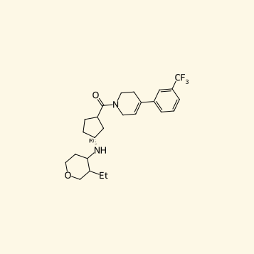 CCC1COCCC1N[C@@H]1CCC(C(=O)N2CC=C(c3cccc(C(F)(F)F)c3)CC2)C1